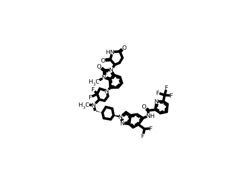 CN(C[C@H]1CC[C@H](n2cc3cc(NC(=O)c4cccc(C(F)(F)F)n4)c(C(F)F)cc3n2)CC1)C1CCN(c2cccc3c2n(C)c(=O)n3C2CCC(=O)NC2=O)CC1(F)F